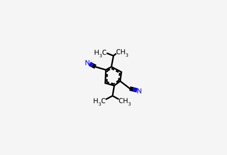 CC(C)c1cc(C#N)c(C(C)C)cc1C#N